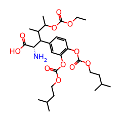 CCOC(=O)OC(C)C(C)C(c1ccc(OC(=O)OCCC(C)C)c(OC(=O)OCCC(C)C)c1)[C@H](N)C(=O)O